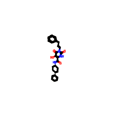 O=C(N[C@H]1CC[C@@H](c2ccccc2)CC1)c1[nH]c(=O)n(CCCc2ccccc2)c(=O)c1O